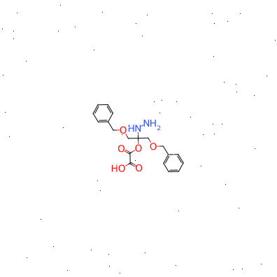 NNC(COCc1ccccc1)(COCc1ccccc1)OC(=O)C(=O)O